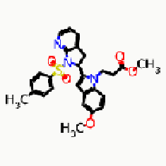 COC(=O)CCn1c(C2Cc3cccnc3N2S(=O)(=O)c2ccc(C)cc2)cc2cc(OC)ccc21